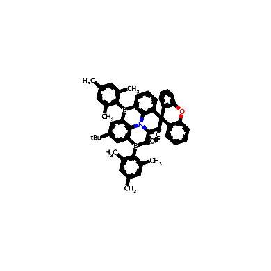 Cc1cc(C)c(B2c3cc(C(C)(C)C)cc4c3N3c5c2cccc5C2(c5ccccc5Oc5ccccc52)c2cccc(c23)B4c2c(C)cc(C)cc2C)c(C)c1